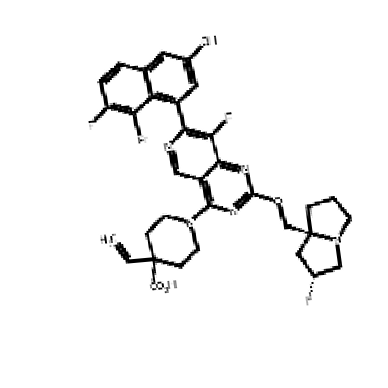 C=CC1(C(=O)O)CCN(c2nc(OC[C@@]34CCCN3C[C@H](F)C4)nc3c(F)c(-c4cc(O)cc5ccc(F)c(CC)c45)ncc23)CC1